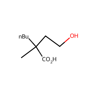 CCCCC(C)(CCO)C(=O)O